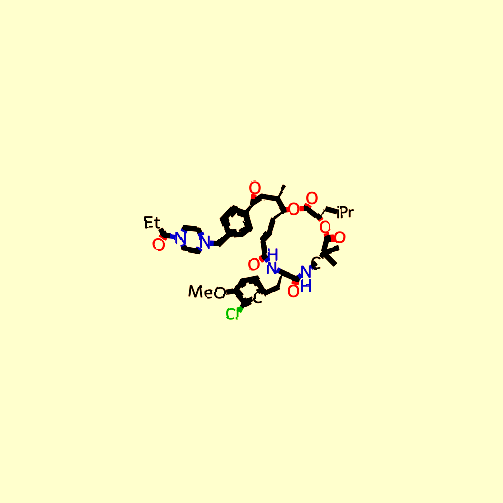 CCC(=O)N1CCN(Cc2ccc([C@H]3O[C@@H]3[C@@H](C)[C@@H]3C/C=C/C(=O)N[C@H](Cc4ccc(OC)c(Cl)c4)C(=O)NCC(C)(C)C(=O)O[C@@H](CC(C)C)C(=O)O3)cc2)CC1